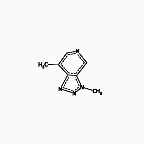 Cc1cncc2c1nnn2C